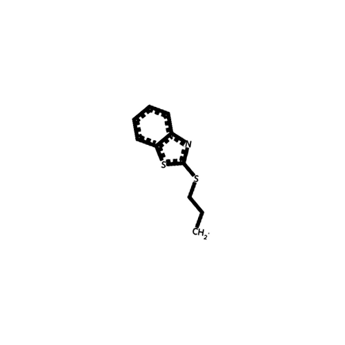 [CH2]CCSc1nc2ccccc2s1